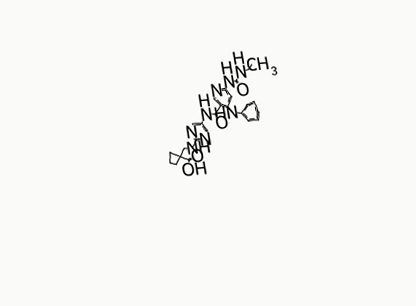 CCNC(=O)Nc1cc(Nc2ccccc2)c(C(=O)Nc2cnc(NCC3(C(=O)O)CCC3)nc2)cn1